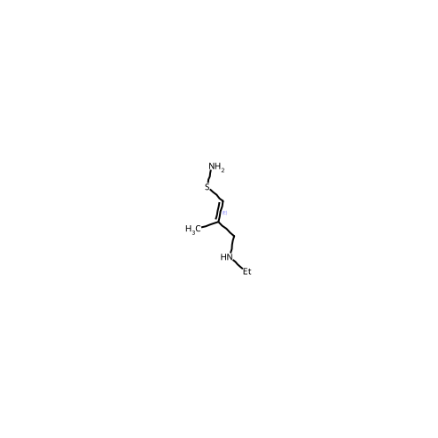 CCNC/C(C)=C/SN